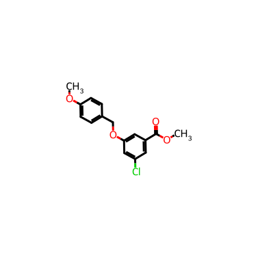 COC(=O)c1cc(Cl)cc(OCc2ccc(OC)cc2)c1